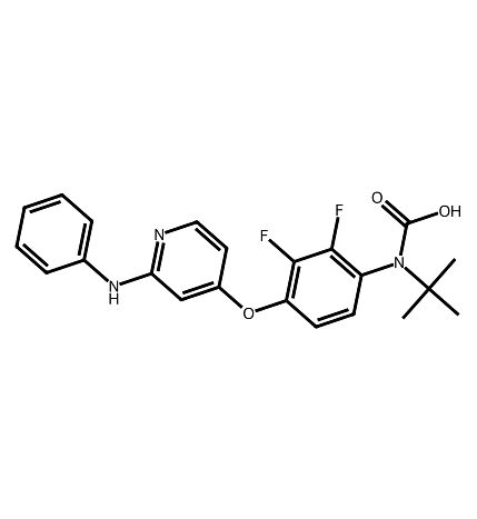 CC(C)(C)N(C(=O)O)c1ccc(Oc2ccnc(Nc3ccccc3)c2)c(F)c1F